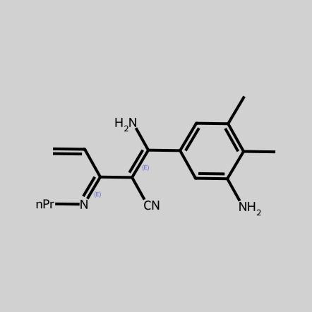 C=CC(=N\CCC)/C(C#N)=C(\N)c1cc(C)c(C)c(N)c1